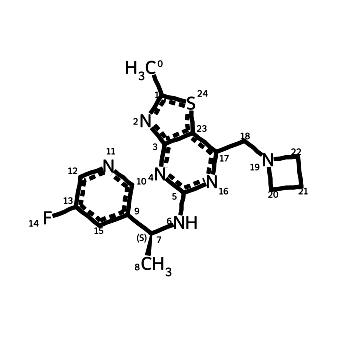 Cc1nc2nc(N[C@@H](C)c3cncc(F)c3)nc(CN3CCC3)c2s1